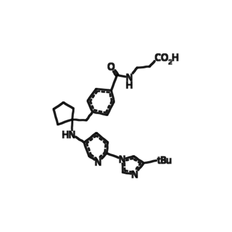 CC(C)(C)c1cn(-c2ccc(NC3(Cc4ccc(C(=O)NCCC(=O)O)cc4)CCCC3)cn2)cn1